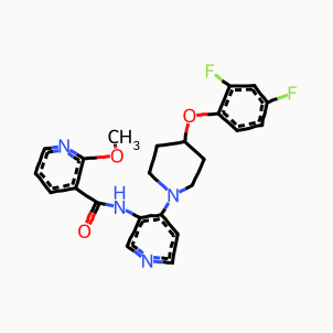 COc1ncccc1C(=O)Nc1cnccc1N1CCC(Oc2ccc(F)cc2F)CC1